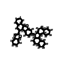 c1ccc2c(c1)cc(-c1nc3ccccc3o1)c1c3ccc(-n4c5ccc6ccccc6c5c5c6ccccc6ccc54)cc3oc21